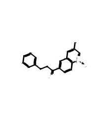 Cc1cc2cc(C(=O)CCc3ccccc3)ccc2[n+]([O-])c1